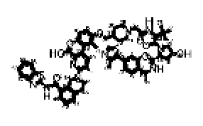 Cc1ncsc1-c1ccc([C@H](C)NC(=O)[C@@H]2C[C@@H](O)CN2C(=O)[C@@H](NC(=O)CN2CCC(COc3cccc(-c4ccc(N5CCc6cccc(C(=O)Nc7nc8ccccc8s7)c6C5)nc4C(=O)O)c3C)CC2)C(C)(C)C)cc1